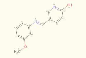 COc1cccc(N=Cc2ccc(O)nc2)c1